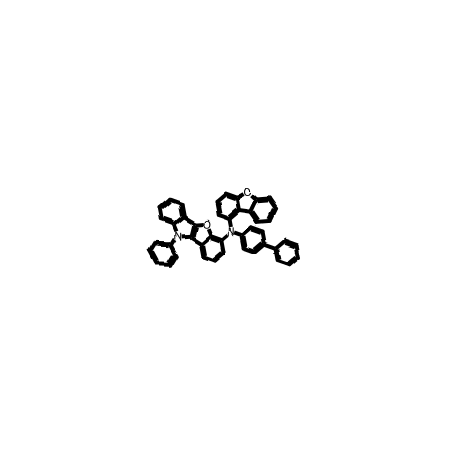 c1ccc(-c2ccc(N(c3cccc4c3oc3c5ccccc5n(-c5ccccc5)c43)c3cccc4oc5ccccc5c34)cc2)cc1